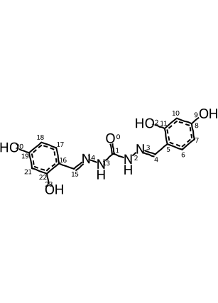 O=C(N/N=C/c1ccc(O)cc1O)N/N=C/c1ccc(O)cc1O